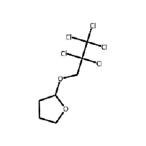 ClC(Cl)(Cl)C(Cl)(Cl)COC1CCCO1